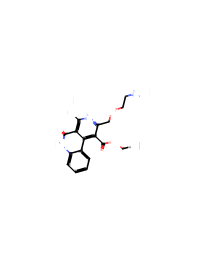 CCOC(=O)c1c(COCCN)nc(C)c2c(=O)[nH]c3ccccc3c12